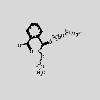 O.O.O.O.O.O.O=C([O-])c1ccccc1C(=O)OO[O-].[Mg+2]